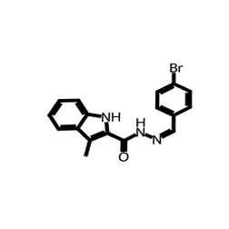 Cc1c(C(=O)N/N=C\c2ccc(Br)cc2)[nH]c2ccccc12